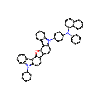 c1ccc(N(c2ccc(-n3c4ccccc4c4c5oc6c(ccc7c6c6ccccc6n7-c6ccccc6)c5ccc43)cc2)c2cccc3ccccc23)cc1